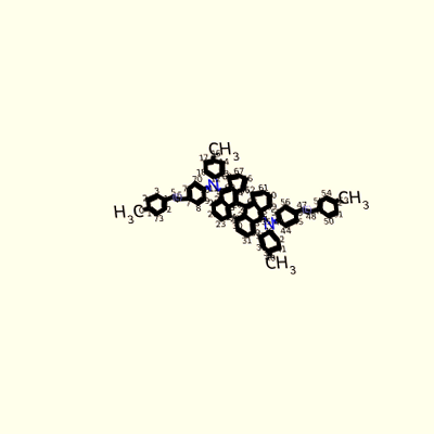 Cc1ccc(/C=C/c2ccc(N(c3ccc(C)cc3)c3c4ccccc4c(-c4c5ccccc5c(N(c5ccc(C)cc5)c5ccc(/C=C/c6ccc(C)cc6)cc5)c5ccccc45)c4ccccc34)cc2)cc1